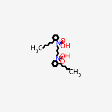 CCCCCCc1ccccc1N(CCCCCN(C(=O)O)c1ccccc1CCCCCC)C(=O)O